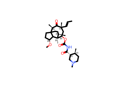 CC=C[C@]1(C)C[C@@H](OC(=O)NC(=O)[C@H]2CN(C)CC[C@@H]2C)[C@@]2(C)C3[C@H](OC)CCC3(CC[C@H]2C)[C@@H](C)C1=O